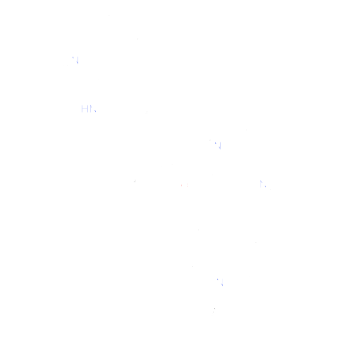 CC(=O)N1CC=C(c2nccnc2Oc2ccc(Nc3ccccn3)cc2)CC1